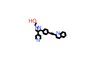 OCCn1cc(-c2ccncc2)c(-c2ccc(C#Cc3ccc4ccccc4n3)cc2)n1